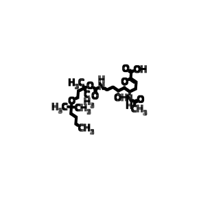 CCCCC(C)(C)OCCC(C)(C)OC(=O)NCC[C@@H](O)[C@@H]1OC(C(=O)O)=CC[C@H]1NC(C)=O